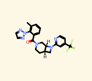 Cc1cccc(C(=O)N2CC[C@H]3CN(c4cc(C(F)(F)F)ccn4)[C@H]3C2)c1-n1nccn1